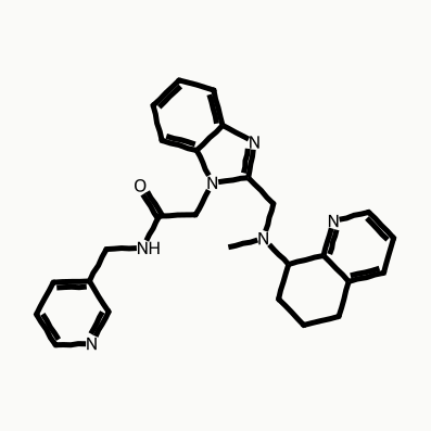 CN(Cc1nc2ccccc2n1CC(=O)NCc1cccnc1)C1CCCc2cccnc21